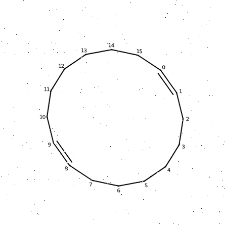 C1=CCCCCCCC=CCCCCCC1